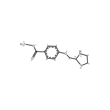 COC(=O)c1ccc(OCC2NCCS2)cc1